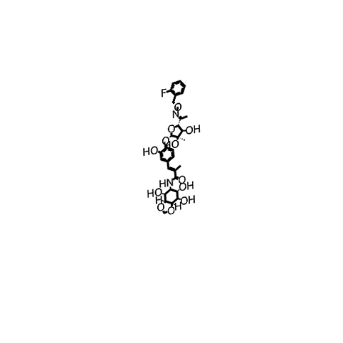 CC(=Cc1ccc(O[C@@H]2O[C@H](C(C)=NOCc3ccccc3F)[C@@H](O)[C@@]2(C)O)c(O)c1)C(=O)N[C@@H]1[C@H](O)[C@@H](O)[C@H]2OCO[C@H]2[C@@H]1O